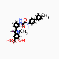 Cc1ccc(-c2ccc(NC(=O)C(=O)Nc3cccc(-c4c(I)c5cc(C(=O)O)c(O)cc5n4C)c3)cc2)cc1